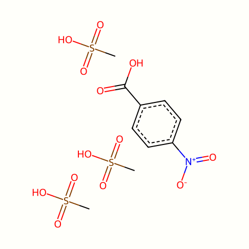 CS(=O)(=O)O.CS(=O)(=O)O.CS(=O)(=O)O.O=C(O)c1ccc([N+](=O)[O-])cc1